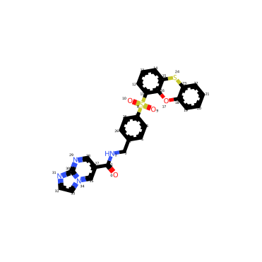 O=C(NCc1ccc(S(=O)(=O)c2cccc3c2Oc2ccccc2S3)cc1)c1cnc2nccn2c1